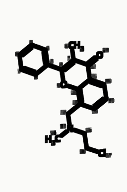 Cc1c(-c2ccccc2)oc2c(CN(C)CCCl)cccc2c1=O